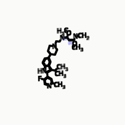 C=N/C(=C\C(=N/CCN1CCC(c2ccc3[nH]c(-c4cc(C)ncc4F)c(C(C)C)c3c2)CC1)OC)OC